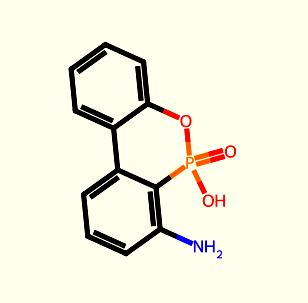 Nc1cccc2c1P(=O)(O)Oc1ccccc1-2